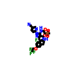 CS(=O)(=O)CC(=O)Nc1c2c(nn1-c1ccc(C#N)cn1)C[C@]1(CCc3cc(OCC(F)(F)F)cc(F)c31)NC2=O